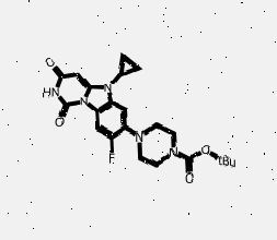 CC(C)(C)OC(=O)N1CCN(c2cc3c(cc2F)n2c(=O)[nH]c(=O)cc2n3C2CC2)CC1